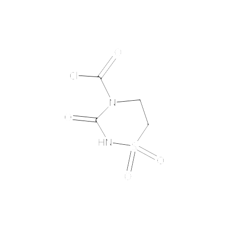 O=C(Cl)N1CCS(=O)(=O)NC1=O